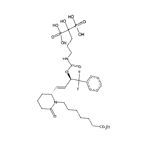 CCOC(=O)CCCCCCN1C(=O)CCC[C@@H]1/C=C/[C@@H](OC(=O)NCCCC(O)(P(=O)(O)O)P(=O)(O)O)C(F)(F)c1ccccc1